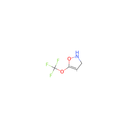 FC(F)(F)OC1=[C]CNO1